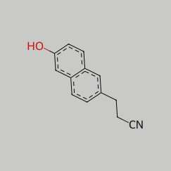 N#CCCc1ccc2cc(O)ccc2c1